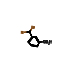 O=C(O)c1cccc(C(Br)Br)c1